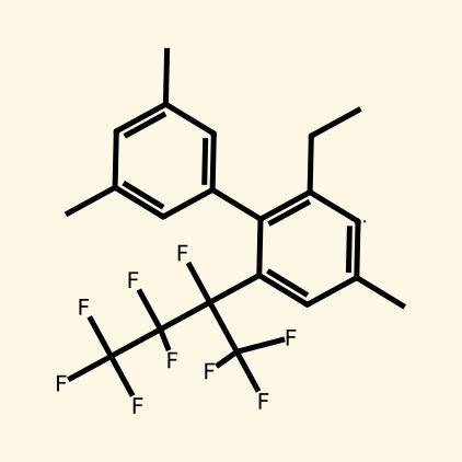 CCc1[c]c(C)cc(C(F)(C(F)(F)F)C(F)(F)C(F)(F)F)c1-c1cc(C)cc(C)c1